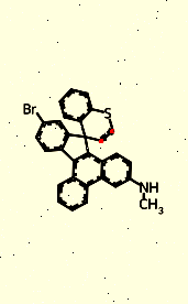 CNc1ccc2c3c(c4ccccc4c2c1)-c1ccc(Br)cc1C31c2ccccc2Sc2ccccc21